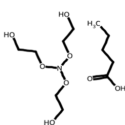 CCCCC(=O)O.OCCON(OCCO)OCCO